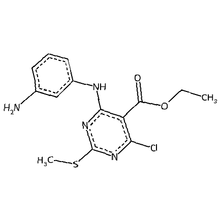 CCOC(=O)c1c(Cl)nc(SC)nc1Nc1cccc(N)c1